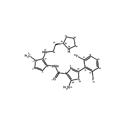 Cn1ncc(NC(=O)c2nc(-c3c(F)cccc3F)sc2N)c1NCC[C@H]1CCCN1